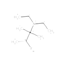 CCN(CC)C(C)(C)[C@@H](C)F